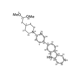 COC(CC1CCN(c2ccc(-c3ccc4c(c3)[nH]c3ccncc34)cn2)CC1)OC